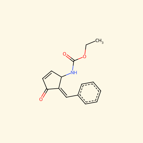 CCOC(=O)NC1C=CC(=O)C1=Cc1ccccc1